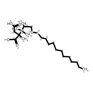 CCCCCCCCCCCCSOCC(C)[N+](C)(C)C(C)(CC(=O)O)C(=O)[O-]